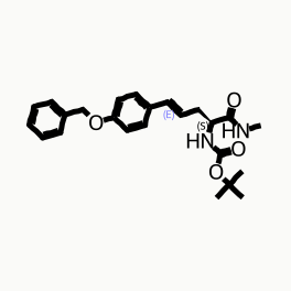 CNC(=O)[C@H](C/C=C/c1ccc(OCc2ccccc2)cc1)NC(=O)OC(C)(C)C